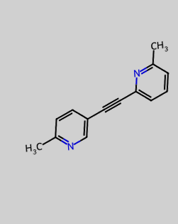 Cc1ccc(C#Cc2cccc(C)n2)cn1